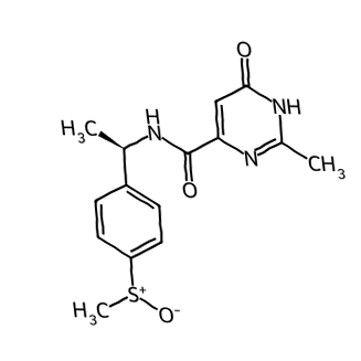 Cc1nc(C(=O)N[C@H](C)c2ccc([S+](C)[O-])cc2)cc(=O)[nH]1